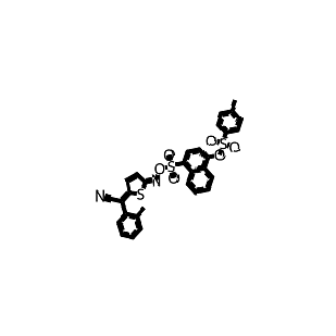 Cc1ccc(S(=O)(=O)Oc2ccc(S(=O)(=O)O/N=C3C=C/C(=C(\C#N)c4ccccc4C)S\3)c3ccccc23)cc1